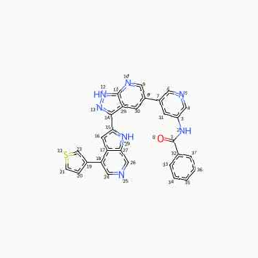 O=C(Nc1cncc(-c2cnc3[nH]nc(-c4cc5c(-c6ccsc6)cncc5[nH]4)c3c2)c1)c1ccccc1